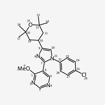 COc1ncncc1-c1nc(C2CC(C)(C)OC(C)(C)C2)cn1-c1ccc(Cl)cc1